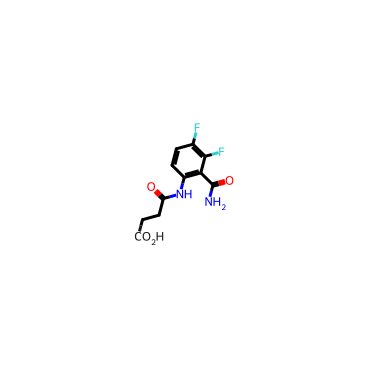 NC(=O)c1c(NC(=O)CCC(=O)O)ccc(F)c1F